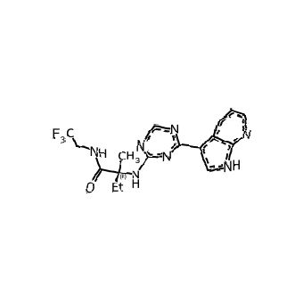 CC[C@@](C)(Nc1ncnc(-c2c[nH]c3ncccc23)n1)C(=O)NCC(F)(F)F